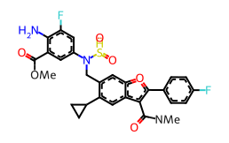 CNC(=O)c1c(-c2ccc(F)cc2)oc2cc(CN(c3cc(F)c(N)c(C(=O)OC)c3)[SH](=O)=O)c(C3CC3)cc12